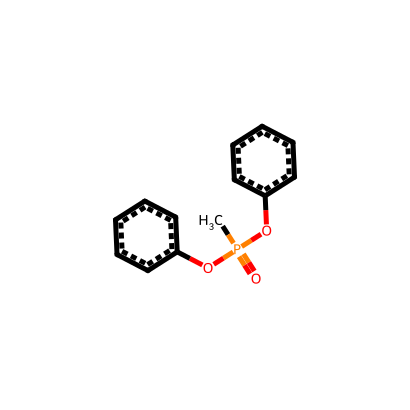 CP(=O)(Oc1ccccc1)Oc1ccccc1